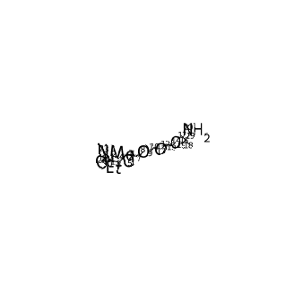 CCC(C)(CCOCCOCCOCCOCC(C)(C)CN)C(=O)NC